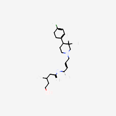 C=C(CC(CCC)CCO)N[C@@H](/C=C/CN1CCC(C2=CC=C(Cl)CC2)C(C)(C)C1)C(C)C